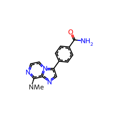 CNc1nccn2c(-c3ccc(C(N)=O)cc3)cnc12